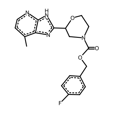 Cc1ccnc2[nH]c(C3CN(C(=O)OCc4ccc(F)cc4)CCO3)nc12